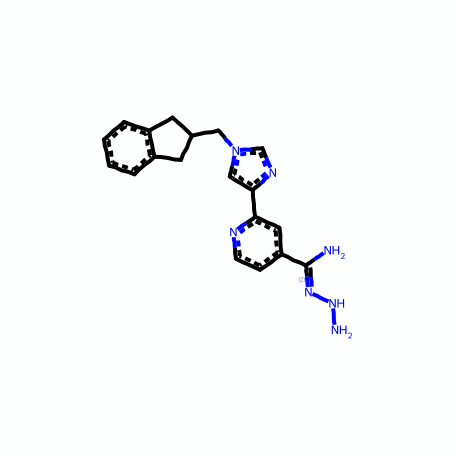 NN/N=C(\N)c1ccnc(-c2cn(CC3Cc4ccccc4C3)cn2)c1